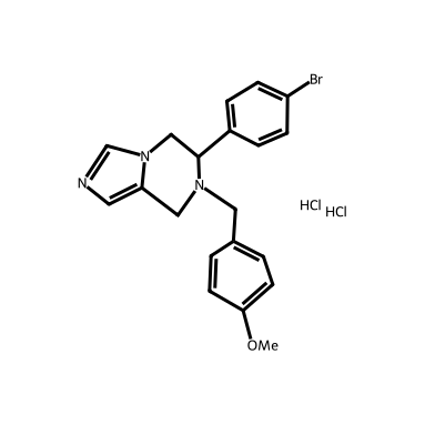 COc1ccc(CN2Cc3cncn3CC2c2ccc(Br)cc2)cc1.Cl.Cl